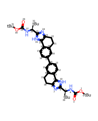 CC(C)(C)OC(=O)N[C@H](c1nc2c([nH]1)-c1ccc(-c3ccc4c(c3)CCc3nc([C@@H](NC(=O)OC(C)(C)C)C(C)(C)C)[nH]c3-4)cc1CC2)C(C)(C)C